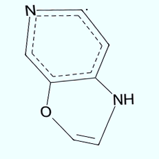 [c]1cc2c(cn1)OC=CN2